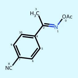 CC(=O)O/N=C(\C)c1ccc(C#N)cc1